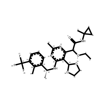 CCOC(C(=O)NC1(C)CC1)c1nc(C)nc(N[C@H](C)c2cccc(C(F)(F)F)c2C)c1C1OCCO1